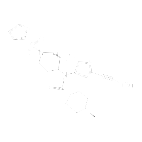 CC(C)(C)C#Cc1cc(N(C(=O)[C@H]2CC[C@H](C)CC2)C2CCN(S(=O)(=O)c3cccs3)CC2)c(C(=O)O)s1